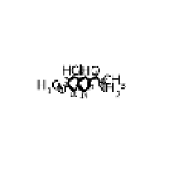 COc1ccc2cc(C(O)C(C)N)ccc2c1.Cl